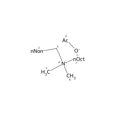 CC(=O)[O-].CCCCCCCCCC[N+](C)(C)CCCCCCCC